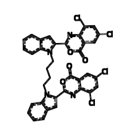 O=c1oc(-c2cc3ccccc3n2CCCCn2c(-c3nc4c(Cl)cc(Cl)cc4c(=O)o3)cc3ccccc32)nc2c(Cl)cc(Cl)cc12